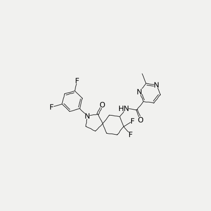 Cc1nccc(C(=O)NC2CC3(CCN(c4cc(F)cc(F)c4)C3=O)CCC2(F)F)n1